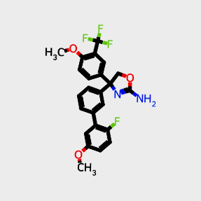 COc1ccc(F)c(-c2cccc(C3(c4ccc(OC)c(C(F)(F)F)c4)COC(N)=N3)c2)c1